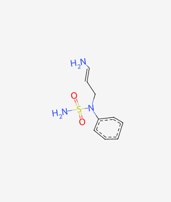 NC=CCN(c1ccccc1)S(N)(=O)=O